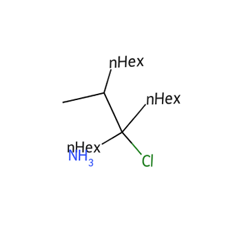 CCCCCCC(C)C(Cl)(CCCCCC)CCCCCC.N